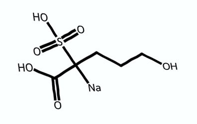 O=C(O)[C]([Na])(CCCO)S(=O)(=O)O